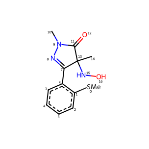 CSc1ccccc1C1=NN(C)C(=O)C1(C)NO